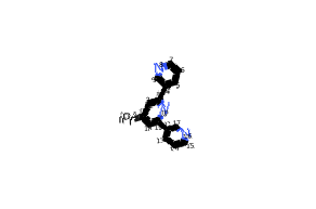 CC(C)c1cc(-c2cccnc2)nc(-c2cccnc2)c1